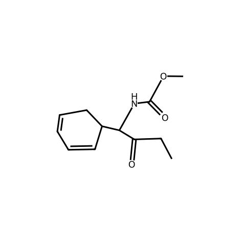 CCC(=O)C(NC(=O)OC)C1C=CC=CC1